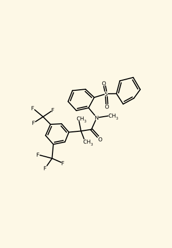 CN(C(=O)C(C)(C)c1cc(C(F)(F)F)cc(C(F)(F)F)c1)c1ccccc1S(=O)(=O)c1ccccc1